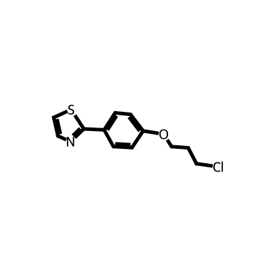 ClCCCOc1ccc(-c2nccs2)cc1